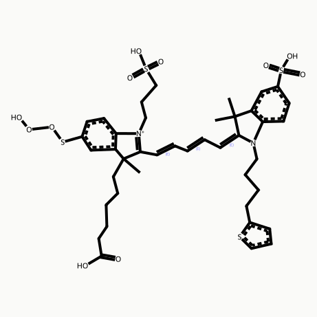 CC1(CCCCCC(=O)O)C(/C=C/C=C/C=C2/N(CCCCc3cccs3)c3ccc(S(=O)(=O)O)cc3C2(C)C)=[N+](CCCS(=O)(=O)O)c2ccc(SOOO)cc21